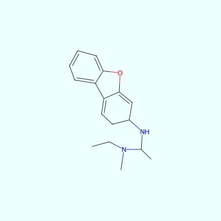 CCN(C)C(C)NC1C=c2oc3ccccc3c2=CC1